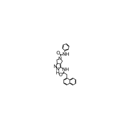 O=C(Cc1cccc2ccccc12)Nc1[nH]nc2c1CN(C(=O)Nc1ccccc1)C2